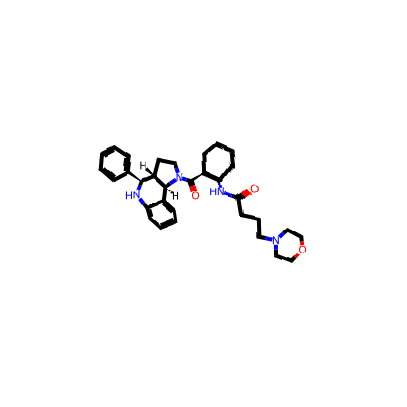 O=C(CCCN1CCOCC1)N[C@@H]1CCCC[C@@H]1C(=O)N1CC[C@H]2[C@H](c3ccccc3)Nc3ccccc3[C@@H]21